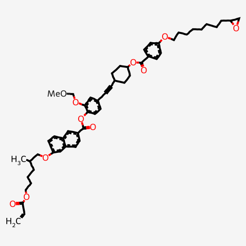 C=CC(=O)OCCCCC(C)COc1ccc2cc(C(=O)Oc3ccc(C#CC4CCC(OC(=O)c5ccc(OCCCCCCCCC6CO6)cc5)CC4)cc3OCOC)ccc2c1